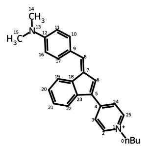 CCCC[n+]1ccc(C2=C/C(=C/c3ccc(N(C)C)cc3)c3ccccc32)cc1